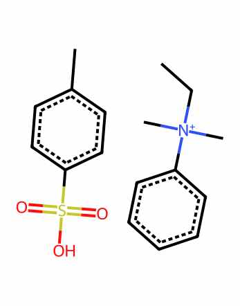 CC[N+](C)(C)c1ccccc1.Cc1ccc(S(=O)(=O)O)cc1